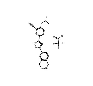 CC(C)Oc1ccc(-c2nc(-c3ccc4c(c3)CCNC4)no2)cc1C#N.O=C(O)C(F)(F)F